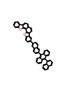 c1ccc2c(-c3c4ccccc4c(-c4ccc5cc(-c6ccc7oc8c(ccc9ccc%10c%11ccccc%11oc%10c98)c7c6)ccc5c4)c4ccccc34)cccc2c1